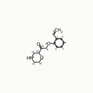 C=Cc1ccccc1OCC(=O)C1CNCCO1